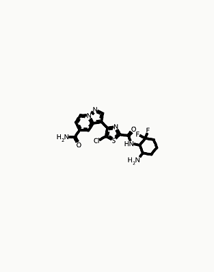 NC(=O)c1ccn2ncc(-c3nc(C(=O)NC4C(N)CCCC4(F)F)sc3Cl)c2c1